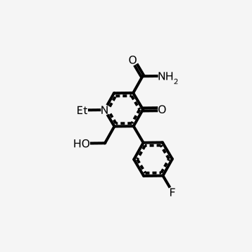 CCn1cc(C(N)=O)c(=O)c(-c2ccc(F)cc2)c1CO